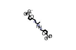 CC(/C=C/c1ccc([N+](=O)[O-])o1)=N\N=C\c1ccc([N+](=O)[O-])o1